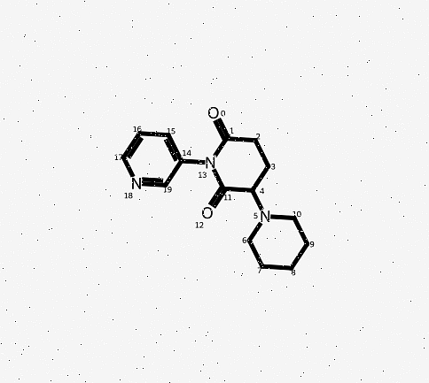 O=C1CCC(N2CCCCC2)C(=O)N1c1cccnc1